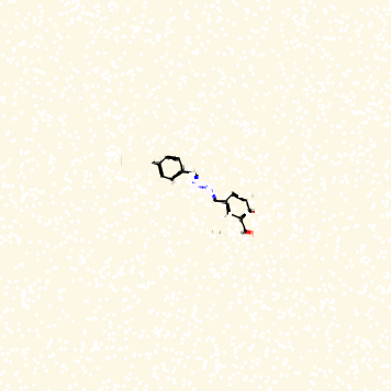 COC(=O)c1cc(/C=N/N=C/c2ccc(C(=O)O)cc2)ccc1O